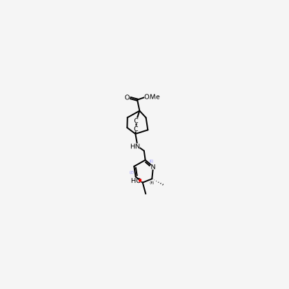 C/C=C\C(CNC12CCC(C(=O)OC)(CC1)CC2)=N/[C@H](C)C(C)O